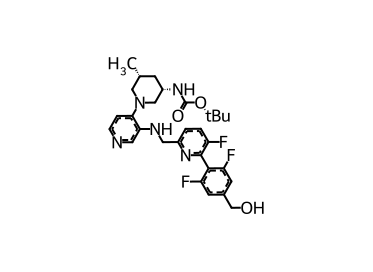 C[C@@H]1C[C@H](NC(=O)OC(C)(C)C)CN(c2ccncc2NCc2ccc(F)c(-c3c(F)cc(CO)cc3F)n2)C1